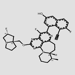 C#Cc1c(F)ccc2cc(O)cc(-c3nc4c5c(nc(OC[C@@]67CCCN6C[C@H](F)C7)nc5c3F)N3CCC[C@H](C)[C@H]3CC4)c12